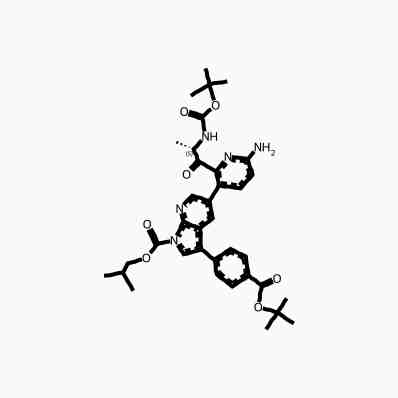 CC(C)COC(=O)n1cc(-c2ccc(C(=O)OC(C)(C)C)cc2)c2cc(-c3ccc(N)nc3C(=O)[C@H](C)NC(=O)OC(C)(C)C)cnc21